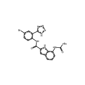 CCCCC(=O)Nc1cccc2cc(C(=O)Nc3ccc(Br)cc3-c3nnn[nH]3)[nH]c12